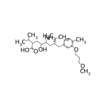 COCCCOc1cc(CC(CC(N)C(O)CC(C(=O)O)C(C)C)C(C)C)ccc1C